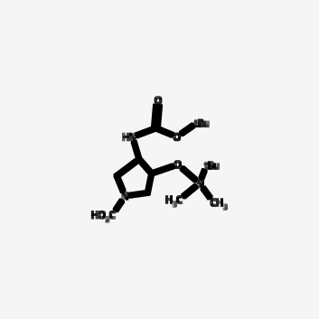 CC(C)(C)OC(=O)NC1CN(C(=O)O)CC1O[Si](C)(C)C(C)(C)C